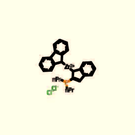 CCCP(CCC)C1=Cc2ccccc2[CH]1[Zr+2][CH]1c2ccccc2-c2ccccc21.[Cl-].[Cl-]